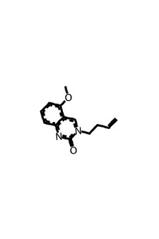 C=CCCn1cc2c(OC)cccc2nc1=O